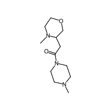 CN1CCN(C(=O)CC2COCCN2C)CC1